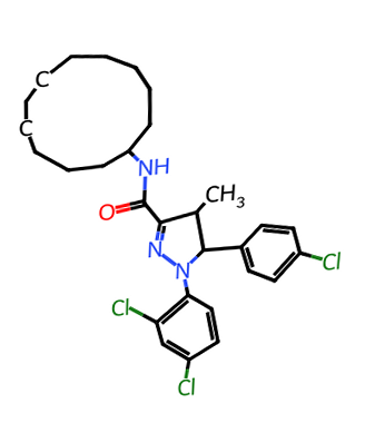 CC1C(C(=O)NC2CCCCCCCCCCC2)=NN(c2ccc(Cl)cc2Cl)C1c1ccc(Cl)cc1